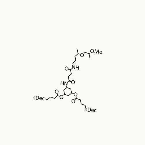 CCCCCCCCCCCCCC(=O)OC1CC(NC(=O)CCC(=O)NCCCC(C)OCC(C)OC)CC(OC(=O)CCCCCCCCCCCCC)C1